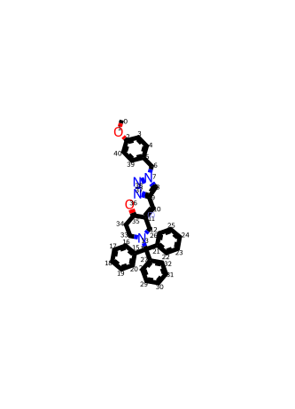 COc1ccc(Cn2cc(/C=C3/CN(C(c4ccccc4)(c4ccccc4)c4ccccc4)CCC3=O)nn2)cc1